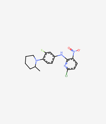 CC1CCCCN1c1ccc(Nc2nc(Cl)ccc2[N+](=O)[O-])cc1F